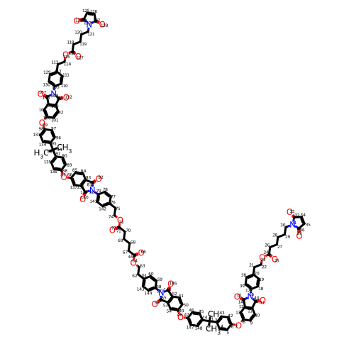 CC(C)(c1ccc(Oc2ccc3c(c2)C(=O)N(c2ccc(CCOC(=O)CCCCCN4C(=O)C=CC4=O)cc2)C3=O)cc1)c1ccc(Oc2ccc3c(c2)C(=O)N(c2ccc(CCOC(=O)CCCCC(=O)OCCc4ccc(N5C(=O)c6ccc(Oc7ccc(C(C)(C)c8ccc(Oc9ccc%10c(c9)C(=O)N(c9ccc(CCOC(=O)CCCCN%11C(=O)C=CC%11=O)cc9)C%10=O)cc8)cc7)cc6C5=O)cc4)cc2)C3=O)cc1